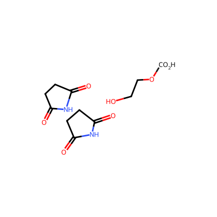 O=C(O)OCCO.O=C1CCC(=O)N1.O=C1CCC(=O)N1